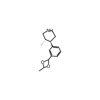 CC1OC(c2cccc([C@@H]3CCNC[C@H]3C)c2)O1